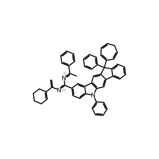 C=C(/N=C(\N=C(/C)c1ccccc1)c1ccc2c(c1)c1cc3c(cc1n2-c1ccccc1)-c1ccccc1C3(C1=CC=CCC=C1)c1ccccc1)C1=CCCCC1